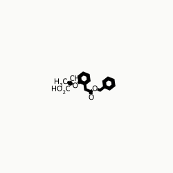 CC(C)(Oc1ccccc1CC(=O)OCc1ccccc1)C(=O)O